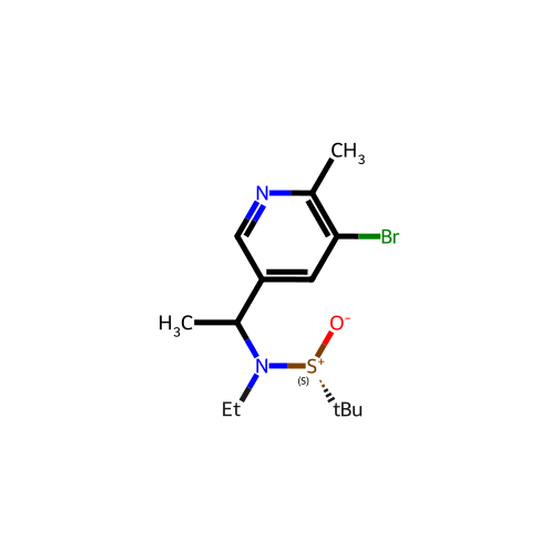 CCN(C(C)c1cnc(C)c(Br)c1)[S@+]([O-])C(C)(C)C